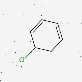 ClC1C=CC=CC1